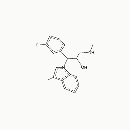 CNCC(O)C(c1cccc(F)c1)n1cc(C)c2ccccc21